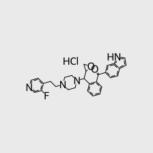 Cl.O=C(c1ccc2cc[nH]c2c1)c1ccccc1C(C1CO1)N1CCN(CCc2ccncc2F)CC1